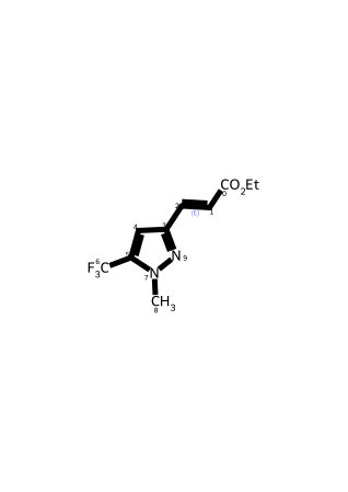 CCOC(=O)/C=C/c1cc(C(F)(F)F)n(C)n1